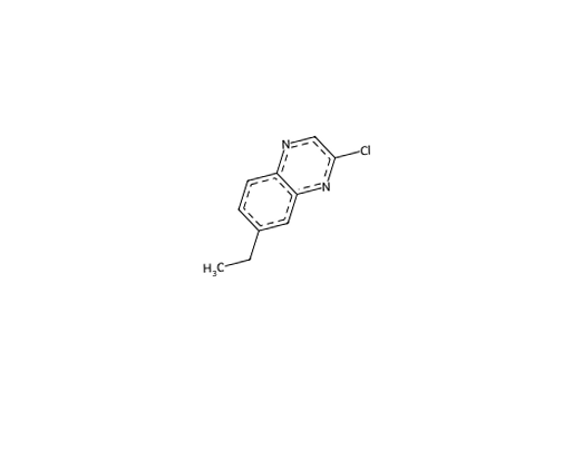 CCc1ccc2ncc(Cl)nc2c1